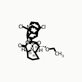 CCOC[C@H]1CN(Cc2ccccn2)C(=O)[C@@H]2CCC[C@H]1N2S(=O)(=O)c1cc(Cl)cc(Cl)c1